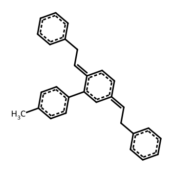 Cc1ccc(-c2cc(=CCc3ccccc3)ccc2=CCc2ccccc2)cc1